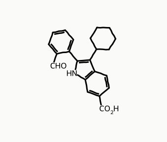 O=Cc1ccccc1-c1[nH]c2cc(C(=O)O)ccc2c1C1CCCCC1